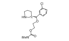 CNC(=O)OCCOC(c1cccc(Cl)c1)[C@@H]1CCCNC1